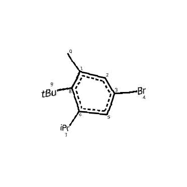 Cc1cc(Br)cc(C(C)C)c1C(C)(C)C